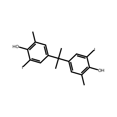 Cc1cc(C(C)(C)c2cc(C)c(O)c(I)c2)cc(I)c1O